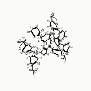 CC(C)(C)c1ccc(N2B3c4c(cc(-c5ccccc5)cc4N(c4ccc(C(C)(C)C)cc4-c4ccccc4)c4ccc5c(sc6ccccc65)c43)-c3cc(N(c4ccc(C(C)(C)C)cc4)c4ccc(C(C)(C)C)cc4)ccc32)cc1